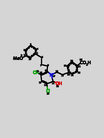 COc1cccc(CCCC2=C(Cl)C=C(Cl)C(O)N2CCc2ccc(C(=O)O)cc2)c1